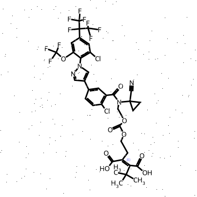 CC(C)(C)/C(C(=O)O)=C(/CCOC(=O)OCN(C(=O)c1cc(-c2cnn(-c3c(Cl)cc(C(F)(C(F)(F)F)C(F)(F)F)cc3OC(F)(F)F)c2)ccc1Cl)C1(C#N)CC1)C(=O)O